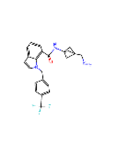 NCC12CC(NC(=O)c3cccc4ccn(Cc5ccc(C(F)(F)F)cc5)c34)(C1)C2